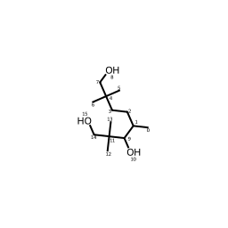 CC(CCC(C)(C)CO)C(O)C(C)(C)CO